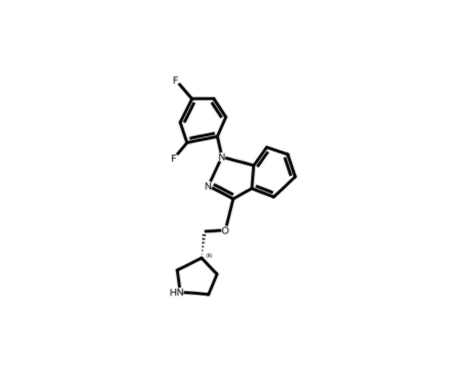 Fc1ccc(-n2nc(OC[C@@H]3CCNC3)c3ccccc32)c(F)c1